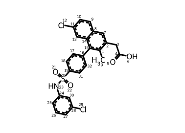 Cc1c(CC(=O)O)cc2ccc(Cl)cc2c1-c1ccc(S(=O)(=O)Nc2cccc(Cl)c2)cc1